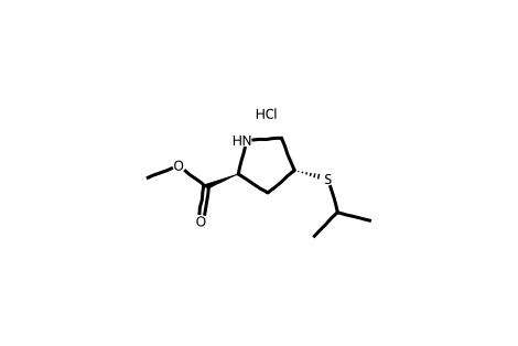 COC(=O)[C@@H]1C[C@@H](SC(C)C)CN1.Cl